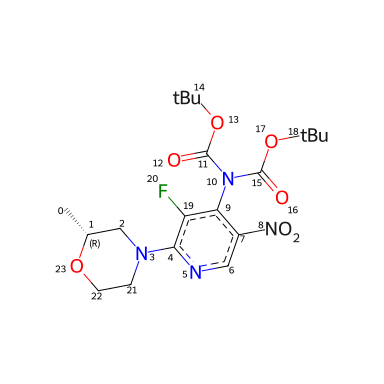 C[C@@H]1CN(c2ncc([N+](=O)[O-])c(N(C(=O)OC(C)(C)C)C(=O)OC(C)(C)C)c2F)CCO1